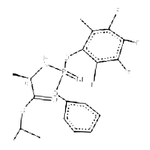 CC(C)OC(=O)[C@@H](C)NP(=N)(Oc1ccccc1)Oc1c(F)c(F)c(F)c(F)c1F